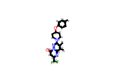 Cc1ccc(OC2CCN(c3nn4c(=O)cc(C(F)F)nc4c(C)c3C)CC2)cc1